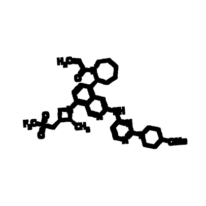 C=CC(=O)N1CCCCC[C@H]1c1ccc(N2C[C@H](CS(=O)(=O)C(F)(F)F)[C@H]2C)c2cnc(Nc3ccnc(N4CCC(OC)CC4)n3)cc12